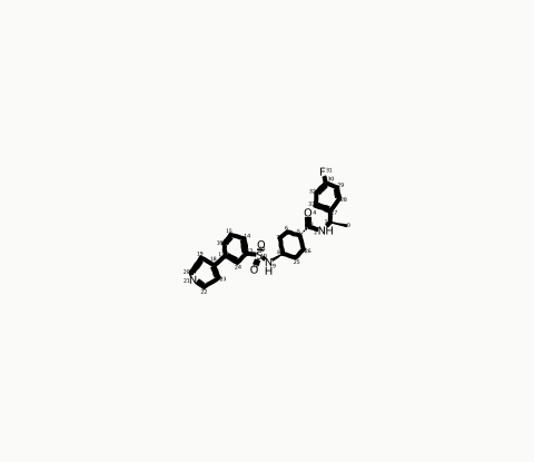 C[C@@H](NC(=O)[C@H]1CC[C@H](NS(=O)(=O)c2cccc(-c3ccncc3)c2)CC1)c1ccc(F)cc1